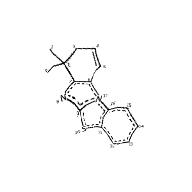 CC1(C)CC=Cc2c1nc1sc3ccccc3n21